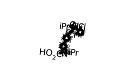 CC(C)c1onc(-c2c(Cl)cccc2Cl)c1COc1ccc(-c2ccc3c(C(=O)O)nn(C(C)C)c3c2)cc1